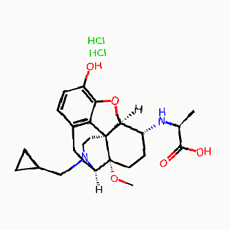 CO[C@@]12CC[C@@H](N[C@@H](C)C(=O)O)[C@@H]3Oc4c(O)ccc5c4[C@@]31CCN(CC1CC1)[C@@H]2C5.Cl.Cl